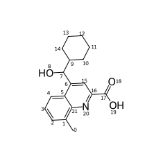 Cc1cccc2c(C(O)C3CCCCC3)cc(C(=O)O)nc12